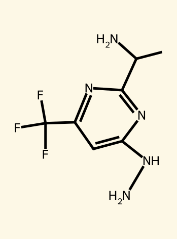 CC(N)c1nc(NN)cc(C(F)(F)F)n1